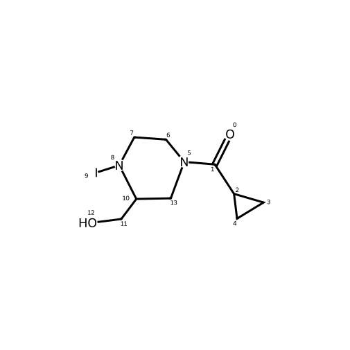 O=C(C1CC1)N1CCN(I)C(CO)C1